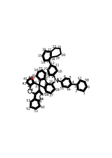 c1ccc(-c2ccc(N(c3ccc(-c4cccc5c4CCCC5)cc3)c3cccc4c3-c3ccccc3C43c4ccccc4Oc4c3ccc3ccccc43)cc2)cc1